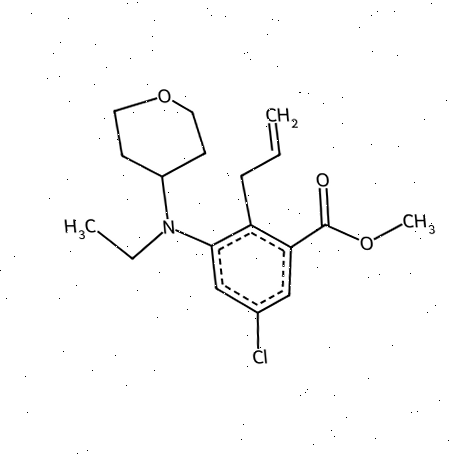 C=CCc1c(C(=O)OC)cc(Cl)cc1N(CC)C1CCOCC1